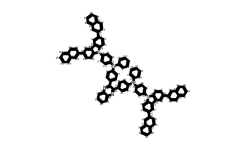 c1ccc(N(c2ccc(-c3nc4ccccc4nc3-c3ccc(N(c4ccccc4)c4ccc(-n5c6ccc(-c7ccc8ccccc8c7)cc6c6cc(-c7ccc8ccccc8c7)ccc65)cc4)cc3)cc2)c2ccc(-n3c4ccc(-c5ccc6ccccc6c5)cc4c4cc(-c5ccc6ccccc6c5)ccc43)cc2)cc1